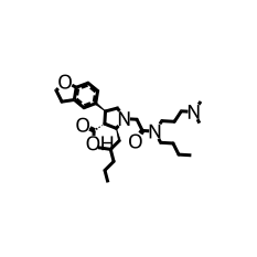 CCCCN(CCCN(C)C)C(=O)CN1C[C@H](c2ccc3c(c2)CCO3)[C@@H](C(=O)O)[C@@H]1CC(C)CCC